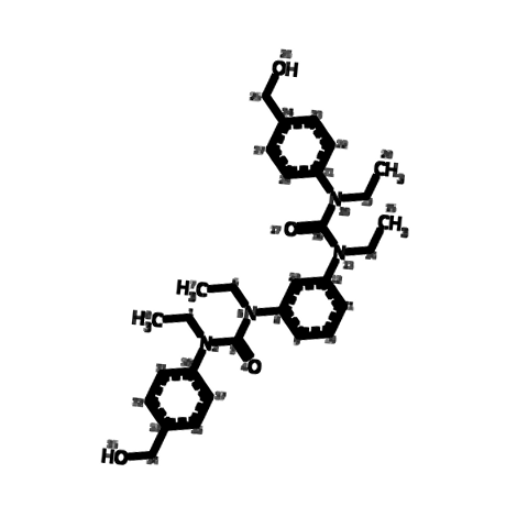 CCN(C(=O)N(CC)c1cccc(N(CC)C(=O)N(CC)c2ccc(CO)cc2)c1)c1ccc(CO)cc1